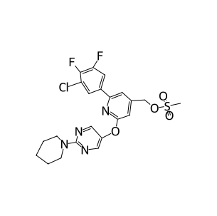 CS(=O)(=O)OCc1cc(Oc2cnc(N3CCCCC3)nc2)nc(-c2cc(F)c(F)c(Cl)c2)c1